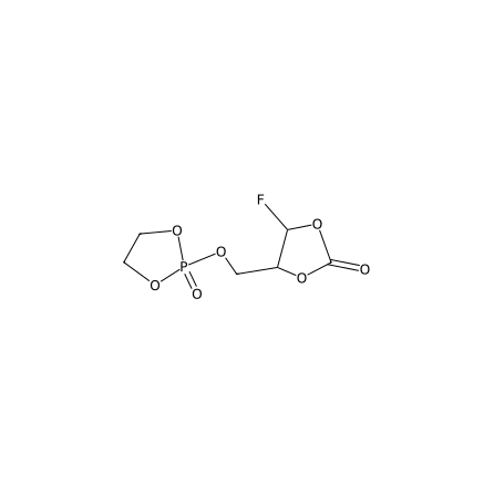 O=C1OC(F)C(COP2(=O)OCCO2)O1